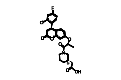 CC(Oc1ccc2c(-c3ccc(F)cc3Cl)cc(=O)oc2c1)C(=O)N1CCC[C@@H](CC(=O)O)C1